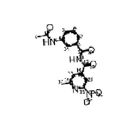 CC(=O)Nc1cccc(C(=O)NC(=O)c2cc(C)nc([N+](=O)[O-])c2)c1